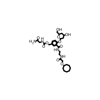 NC(=O)CNC(=O)OCc1ccc(OC2CC(O)CC(CO)O2)c(C(=O)NCCNC(=O)COC2CCCCCCC2)c1